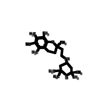 Cc1c(C)c2c(c(C)c1O)CCC(C)(CCNC1CC(C)(C)NC(C)(C)C1)O2